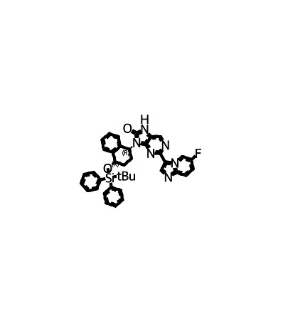 CC(C)(C)[Si](O[C@@H]1CC[C@@H](n2c(=O)[nH]c3cnc(-c4cnc5ccc(F)cn45)nc32)c2ccccc21)(c1ccccc1)c1ccccc1